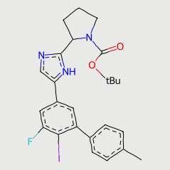 Cc1ccc(-c2cc(-c3cnc(C4CCCN4C(=O)OC(C)(C)C)[nH]3)cc(F)c2I)cc1